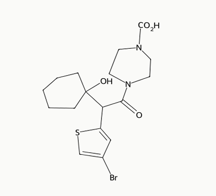 O=C(O)N1CCN(C(=O)C(c2cc(Br)cs2)C2(O)CCCCC2)CC1